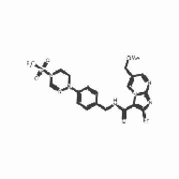 CCc1nc2ncc(COC)cn2c1C(=O)NCc1ccc(N2CCN(S(=O)(=O)C(F)(F)F)C=N2)cc1